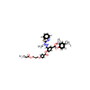 C=CC(=O)OCCCOc1ccc(C(=O)Oc2ccc(C(=O)Oc3ccc(C)cc3C)cc2/C=N/N(C)c2nc3ccccc3s2)cc1